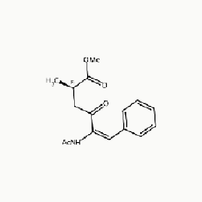 COC(=O)[C@H](C)CC(=O)C(=Cc1ccccc1)NC(C)=O